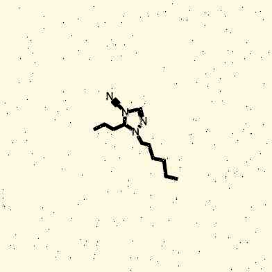 CCCCCCN1N=CN(C#N)C1CCC